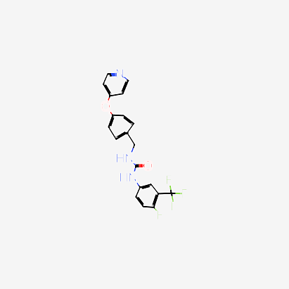 O=C(NCc1ccc(Oc2ccncc2)cc1)Nc1ccc(F)c(C(F)(F)F)c1